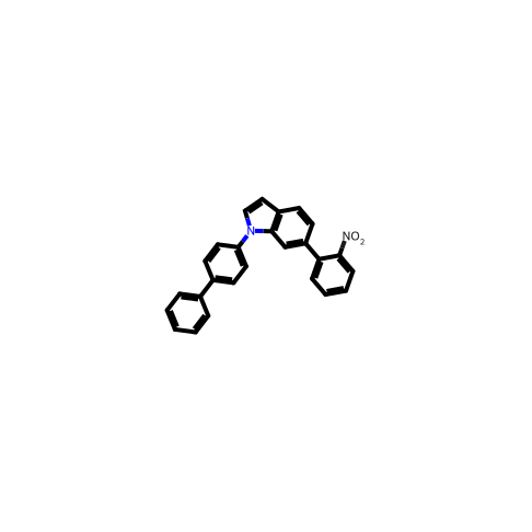 O=[N+]([O-])c1ccccc1-c1ccc2ccn(-c3ccc(-c4ccccc4)cc3)c2c1